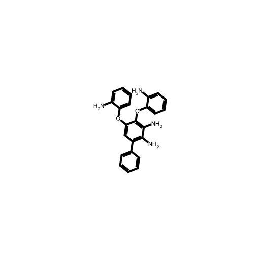 Nc1ccccc1Oc1cc(-c2ccccc2)c(N)c(N)c1Oc1ccccc1N